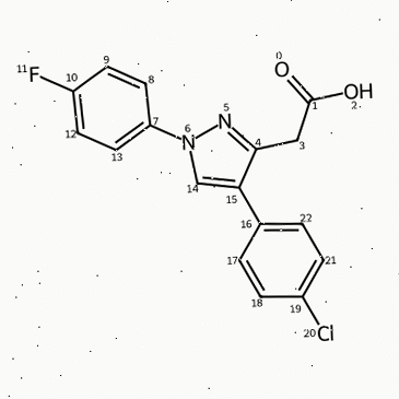 O=C(O)Cc1nn(-c2ccc(F)cc2)cc1-c1ccc(Cl)cc1